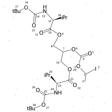 CC(I)OC(=O)OC(COC(=O)[C@@H](NC(=O)OC(C)(C)C)C(C)C)COC(=O)[C@@H](NC(=O)OC(C)(C)C)C(C)C